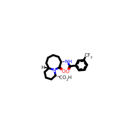 O=C(N[C@H]1CCCC[C@H]2CCC[C@@H](C(=O)O)N2C1=O)c1cccc(C(F)(F)F)c1